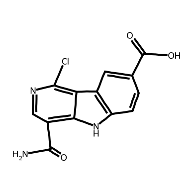 NC(=O)c1cnc(Cl)c2c1[nH]c1ccc(C(=O)O)cc12